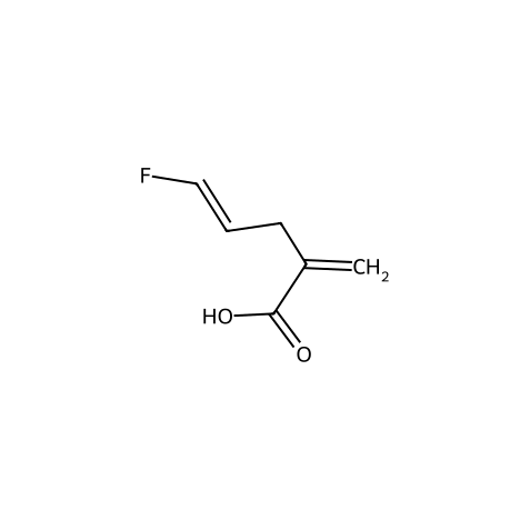 C=C(CC=CF)C(=O)O